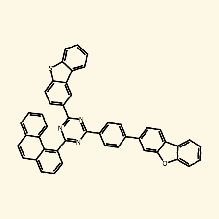 c1ccc2c(c1)ccc1cccc(-c3nc(-c4ccc(-c5ccc6c(c5)oc5ccccc56)cc4)nc(-c4ccc5sc6ccccc6c5c4)n3)c12